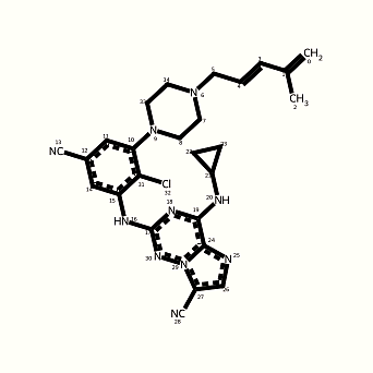 C=C(C)C=CCN1CCN(c2cc(C#N)cc(Nc3nc(NC4CC4)c4ncc(C#N)n4n3)c2Cl)CC1